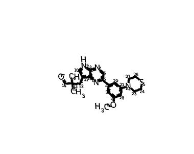 COc1cc(-c2cnc3[nH]cc(CC(C)(C)C=O)c3n2)cc(N2CCSCC2)c1